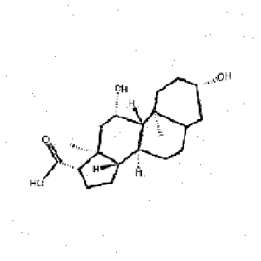 C[C@]12C[C@H](O)[C@H]3[C@@H](CCC4C[C@@H](O)CC[C@@]43C)[C@@H]1CC[C@@H]2C(=O)O